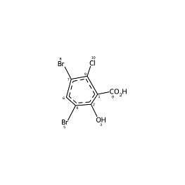 O=C(O)c1c(O)c(Br)cc(Br)c1Cl